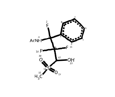 CC(=O)NC(F)(c1ccccc1)C(F)(F)C(O)S(C)(=O)=O